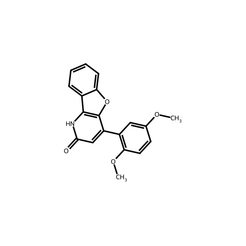 COc1ccc(OC)c(-c2cc(=O)[nH]c3c2oc2ccccc23)c1